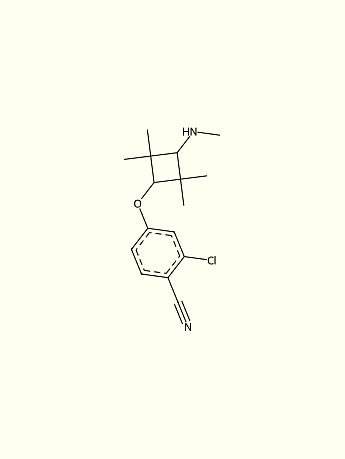 CNC1C(C)(C)C(Oc2ccc(C#N)c(Cl)c2)C1(C)C